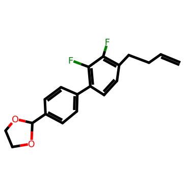 C=CCCc1ccc(-c2ccc(C3OCCO3)cc2)c(F)c1F